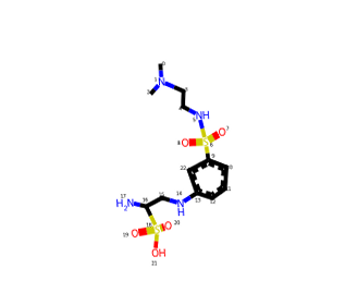 CN(C)CCNS(=O)(=O)c1cccc(NCC(N)S(=O)(=O)O)c1